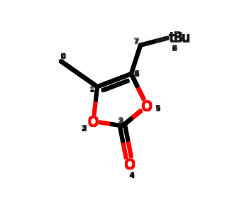 Cc1oc(=O)oc1CC(C)(C)C